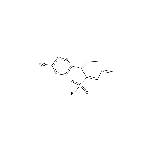 C=C/C=C(\C(=C/C)c1ccc(C(F)(F)F)cn1)S(=O)(=O)CC